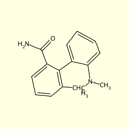 Cc1cccc(C(N)=O)c1-c1ccccc1N(C)C